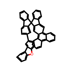 c1ccc2c(c1)-c1ccc(-c3ccc4oc5ccccc5c4c3)cc1C21c2ccccc2-c2cc3c4ccccc4c4ccccc4c3cc21